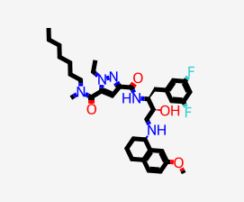 CCCCCCCN(C)C(=O)c1cc(C(=O)N[C@@H](Cc2cc(F)cc(F)c2)[C@H](O)CN[C@H]2CCCc3ccc(OC)cc32)nn1CC